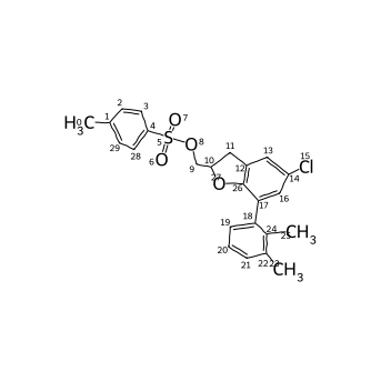 Cc1ccc(S(=O)(=O)OCC2Cc3cc(Cl)cc(-c4cccc(C)c4C)c3O2)cc1